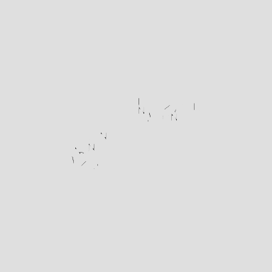 Cc1cc(CC(=O)N[C@H]2CC[C@H](CCN3CCN(c4nccc5c4OCC5)CC3)CC2)on1